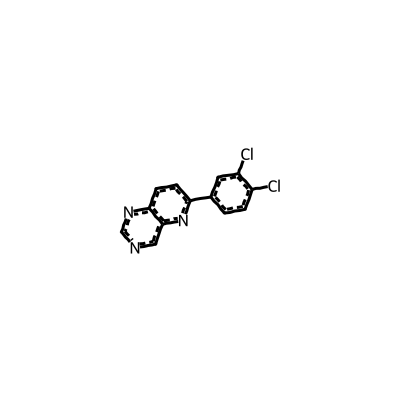 Clc1ccc(-c2ccc3ncncc3n2)cc1Cl